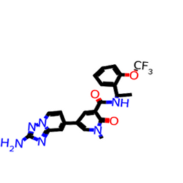 CC(NC(=O)c1cc(-c2ccn3nc(N)nc3c2)cn(C)c1=O)c1ccccc1OC(F)(F)F